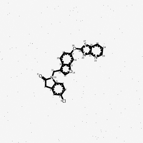 O=C1Cc2cc(Cl)ccc2N1Cc1coc2cc(Oc3nc4ncccc4s3)ccc12